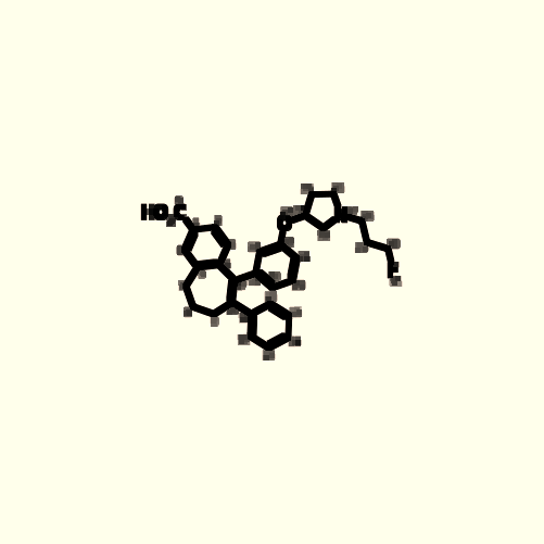 O=C(O)c1ccc2c(c1)CCCC(c1ccccc1)=C2c1cccc(OC2CCN(CCCF)C2)c1